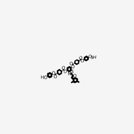 Cc1cc(C)c2cc(-c3nc4c(OC(=O)[C@H]5CC[C@H](C(=O)Oc6ccc(O)cc6)CC5)ccc(OC(=O)[C@H]5CC[C@H](C(=O)Oc6ccc(OS)cc6)CC5)c4s3)oc2c1